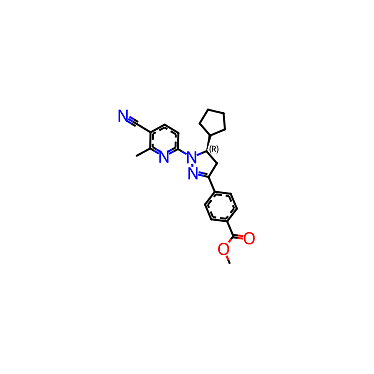 COC(=O)c1ccc(C2=NN(c3ccc(C#N)c(C)n3)[C@@H](C3CCCC3)C2)cc1